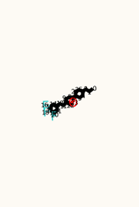 CCCC1CCC(C2CCC(CCc3cc(F)c(F)c(F)c3)=CO2)CC1